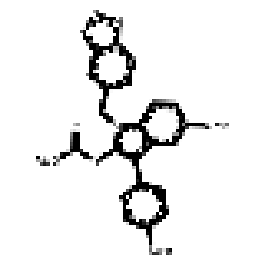 COC(=O)Oc1c(-c2ccc(OC)cc2)c2cc(OC)ccc2n1Cc1ccc2nsnc2c1